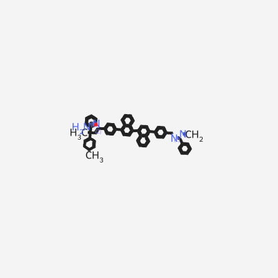 C=N/C(=N\Cc1ccc(-c2ccc(-c3ccc(-c4ccc(C(=C/C(C)(C5=CCC(C)C=C5)c5ccccc5)/N=C\N)cc4)c4ccccc34)c3ccccc23)cc1)c1ccccc1